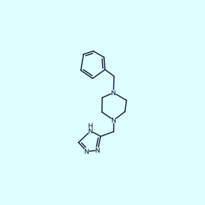 c1ccc(CN2CCN(Cc3nnc[nH]3)CC2)cc1